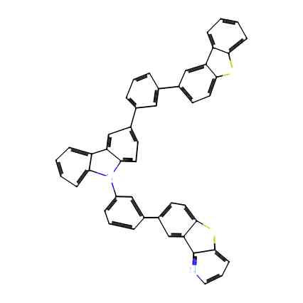 c1cc(-c2ccc3sc4ccccc4c3c2)cc(-c2ccc3c(c2)c2ccccc2n3-c2cccc(-c3ccc4sc5cccnc5c4c3)c2)c1